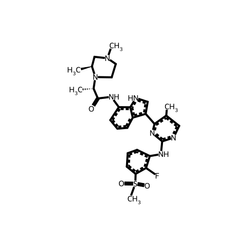 Cc1cnc(Nc2cccc(S(C)(=O)=O)c2F)nc1-c1c[nH]c2c(NC(=O)[C@H](C)N3CCN(C)C[C@@H]3C)cccc12